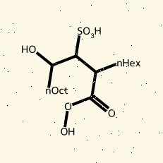 CCCCCCCCC(O)C(C(CCCCCC)C(=O)OO)S(=O)(=O)O